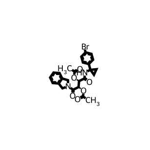 CC(=O)O[C@@H](C(=O)NC1(c2ccc(Br)cc2)CC1)[C@@H](OC(C)=O)C(=O)N1Cc2ccccc2C1